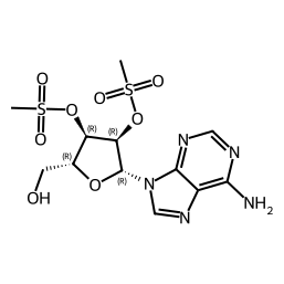 CS(=O)(=O)O[C@@H]1[C@H](OS(C)(=O)=O)[C@@H](CO)O[C@H]1n1cnc2c(N)ncnc21